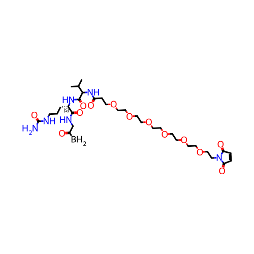 BC(=O)CNC(=O)[C@H](CCCNC(N)=O)NC(=O)C(NC(=O)CCOCCOCCOCCOCCOCCOCCN1C(=O)C=CC1=O)C(C)C